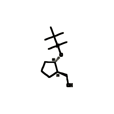 CC(C)(C)[Si](C)(C)O[C@H]1CCC[C@@H]1CO